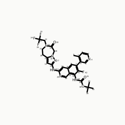 Cc1ccncc1-c1cc2cc(Nc3cc4n(n3)CC(=O)N(CC(F)(F)F)CC4)ncc2c(NC(=O)OC(C)(C)C)c1F